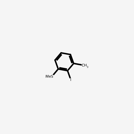 CSc1cccc(C)c1I